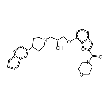 O=C(c1cc2cccc(OC[C@@H](O)CN3CCC(c4ccc5ccccc5c4)CC3)c2o1)N1CCOCC1